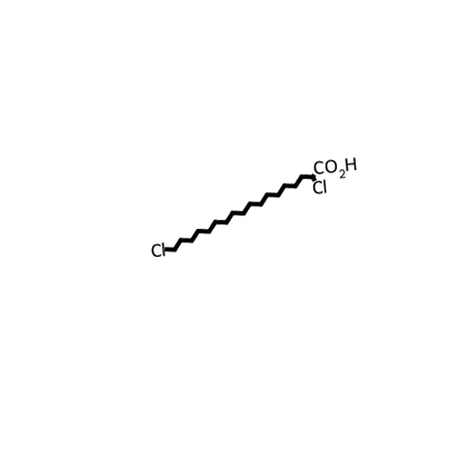 O=C(O)C(Cl)CCCCCCCCCCCCCCCCCl